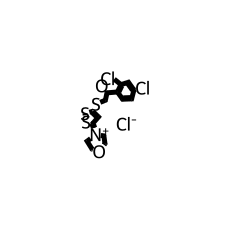 O=C(CSc1cc(=[N+]2CCOCC2)ss1)c1ccc(Cl)cc1Cl.[Cl-]